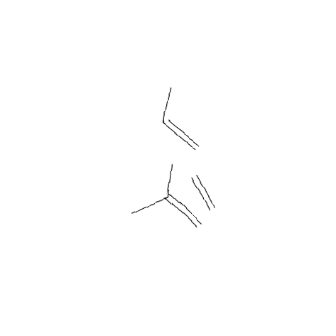 C=C.C=C(C)C.C=CC